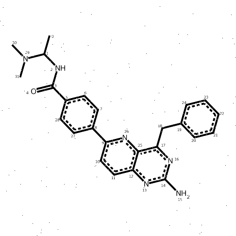 CC(NC(=O)c1ccc(-c2ccc3nc(N)nc(Cc4ccccc4)c3n2)cc1)N(C)C